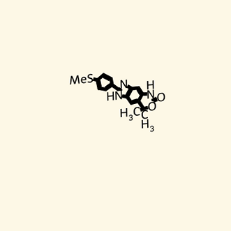 CSc1ccc(-c2nc3cc4c(cc3[nH]2)C(C)(C)OC(=O)N4)cc1